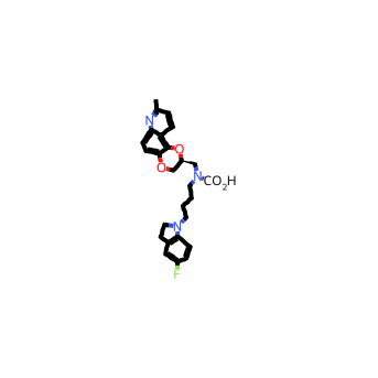 Cc1ccc2c3c(ccc2n1)OC[C@H](CN(CCCCN1CCc2cc(F)ccc21)C(=O)O)O3